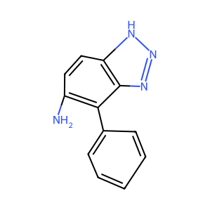 Nc1ccc2[nH]nnc2c1-c1ccccc1